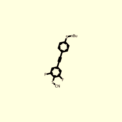 CCCCSc1ccc(C#Cc2cc(F)c(SC#N)c(F)c2)cc1